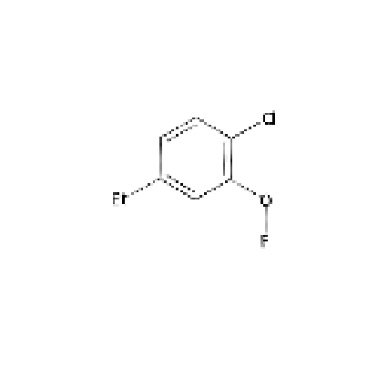 CCc1ccc(Cl)c(OF)c1